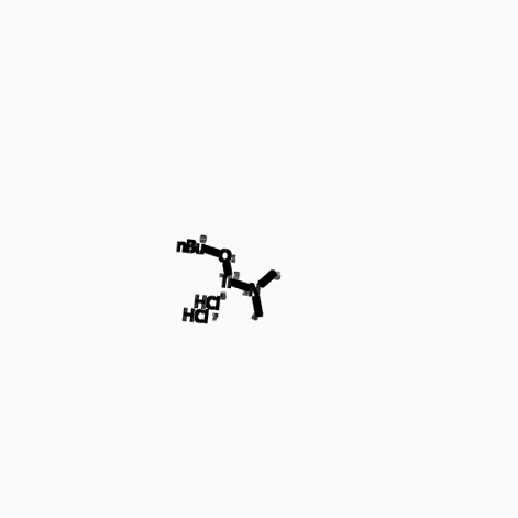 CCCC[O][Ti][N](C)C.Cl.Cl